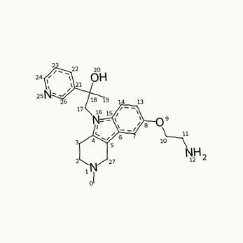 CN1CCc2c(c3cc(OCCN)ccc3n2CC(C)(O)c2cccnc2)C1